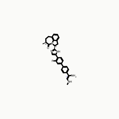 CN/C=C(\N)c1ccc(-c2ccc(-c3cnc([C@@H]4Cc5cccc6c5N4C(=O)[C@@H](C)CC6)[nH]3)c(F)c2)cc1